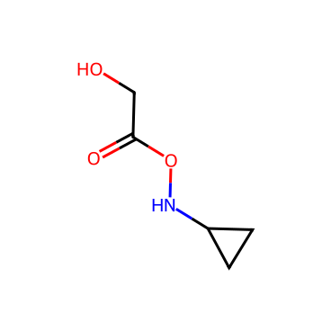 O=C(CO)ONC1CC1